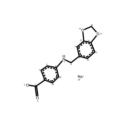 O=C([O-])c1ccc(NCc2ccc3c(c2)OCO3)cc1.[Na+]